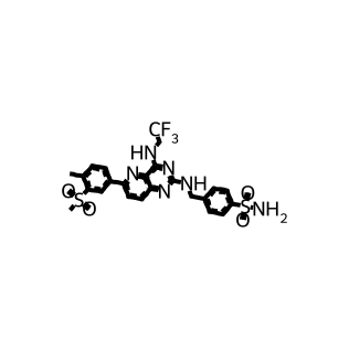 Cc1ccc(-c2ccc3nc(NCc4ccc(S(N)(=O)=O)cc4)nc(NCC(F)(F)F)c3n2)cc1S(C)(=O)=O